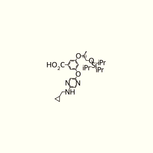 CC(C)[Si](OC[C@H](C)Oc1cc(Oc2cnc(NCC3CC3)cn2)cc(C(=O)O)c1)(C(C)C)C(C)C